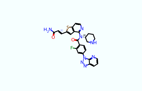 NC(=O)/C=C/c1cc2c(N(C(=O)c3ccc(-n4nnc5cccnc54)cc3F)[C@@H]3CCCNC3)nccc2s1